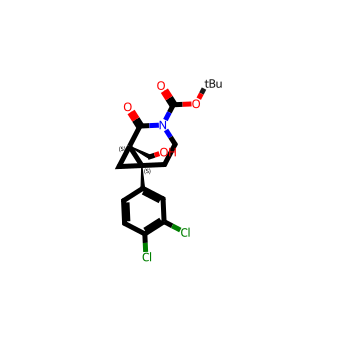 CC(C)(C)OC(=O)N1CC[C@]2(c3ccc(Cl)c(Cl)c3)C[C@]2(CO)C1=O